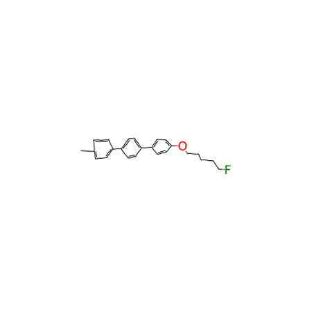 Cc1ccc(-c2ccc(-c3ccc(OCCCCCF)cc3)cc2)cc1